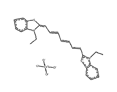 CCN1C(=CC=CC=CC=Cc2sc3ccccc3[n+]2CC)Sc2ccccc21.[O-][Cl+3]([O-])([O-])[O-]